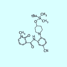 Cn1cccc(C(=O)Nc2cc(C#N)ccc2N2CCC(O[Si](C)(C)C(C)(C)C)CC2)c1=O